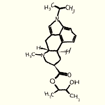 CC(O)C(C)OC(=O)[C@@H]1C[C@@H]2c3cccc4c3c(cn4C(C)C)C[C@H]2N(C)C1